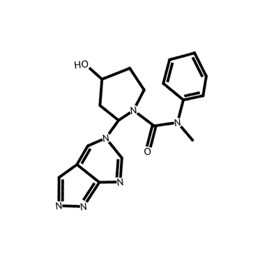 CN(C(=O)N1CCC(O)CC1n1cnc2nncc-2c1)c1ccccc1